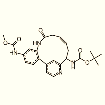 COC(=O)Nc1ccc2c(c1)NC(=O)CC=CCC(NC(=O)OC(C)(C)C)c1cc-2ccn1